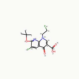 CC(C)(C)Oc1nc2c(cc1F)c(=O)c(C(=O)O)cn2CCF